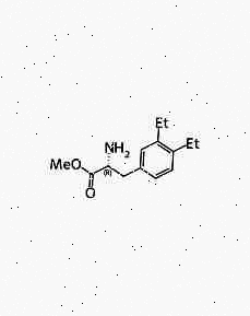 CCc1ccc(C[C@@H](N)C(=O)OC)cc1CC